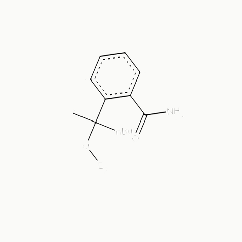 CCCCC(C)(OCC)c1ccccc1C(N)=O